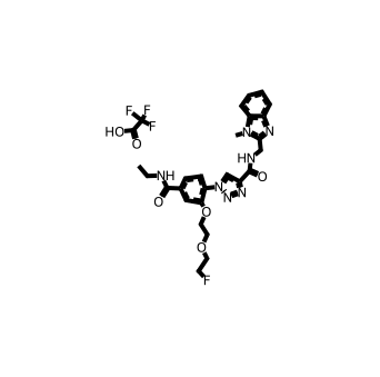 CCNC(=O)c1ccc(-n2cc(C(=O)NCc3nc4ccccc4n3C)nn2)c(OCCOCCF)c1.O=C(O)C(F)(F)F